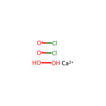 OO.[Ca+2].[O-]Cl.[O-]Cl